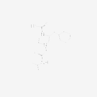 CC(C)NC(=O)CN1CCN(C(=S)S)C(CC2CCCCC2)C1